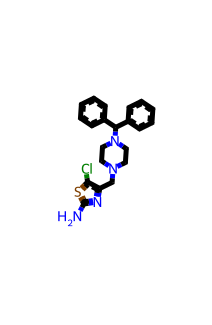 Nc1nc(CN2CCN(C(c3ccccc3)c3ccccc3)CC2)c(Cl)s1